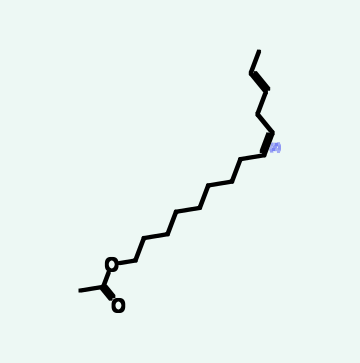 CC=CC/C=C\CCCCCCCCOC(C)=O